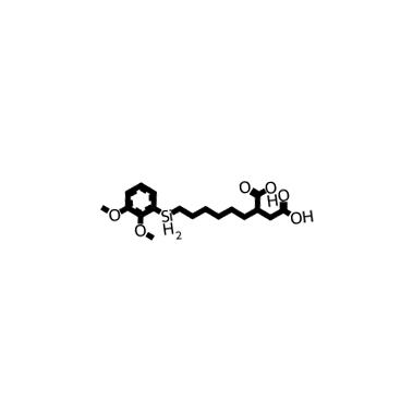 COc1cccc([SiH2]CCCCCCC(CC(=O)O)C(=O)O)c1OC